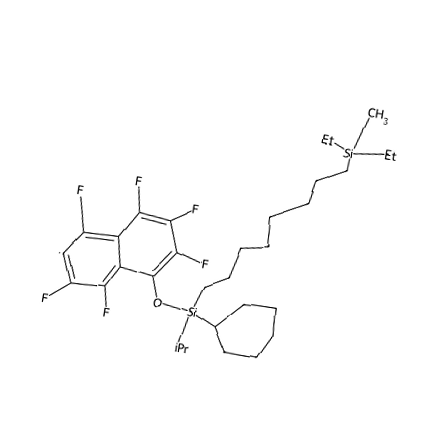 CC[Si](C)(CC)CCCCCCCC[Si](Oc1c(F)c(F)c(F)c2c(F)[c]c(F)c(F)c12)(C(C)C)C1CCCCC1